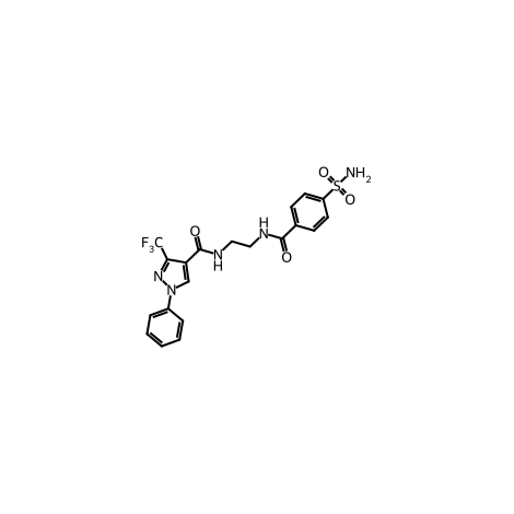 NS(=O)(=O)c1ccc(C(=O)NCCNC(=O)c2cn(-c3ccccc3)nc2C(F)(F)F)cc1